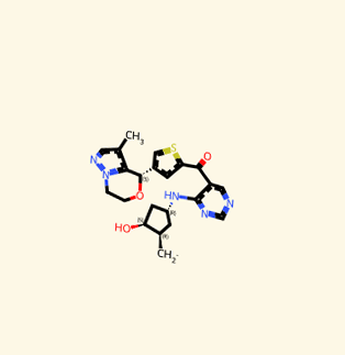 [CH2][C@@H]1C[C@@H](Nc2ncncc2C(=O)c2cc([C@@H]3OCCn4ncc(C)c43)cs2)C[C@@H]1O